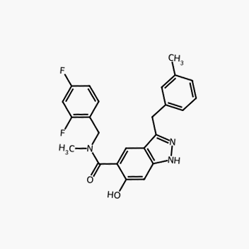 Cc1cccc(Cc2n[nH]c3cc(O)c(C(=O)N(C)Cc4ccc(F)cc4F)cc23)c1